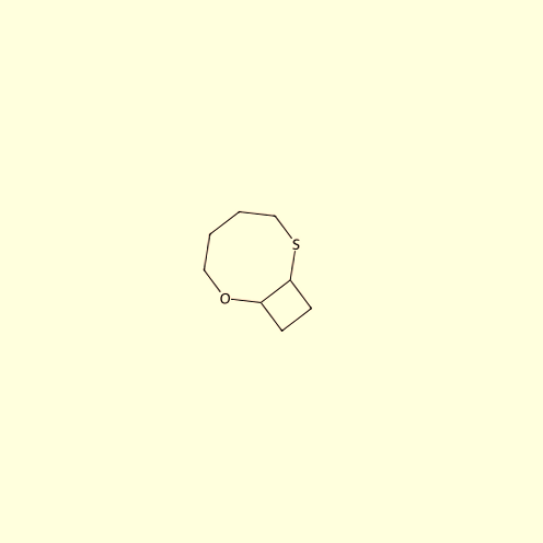 C1CCSC2CCC2OC1